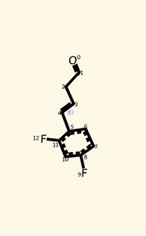 O=[C]C/C=C/c1ccc(F)cc1F